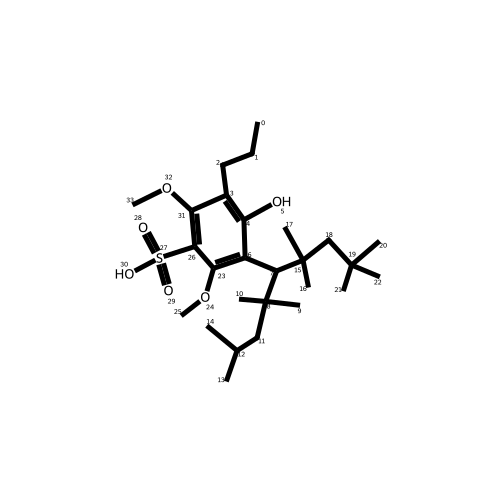 CCCc1c(O)c(C(C(C)(C)CC(C)C)C(C)(C)CC(C)(C)C)c(OC)c(S(=O)(=O)O)c1OC